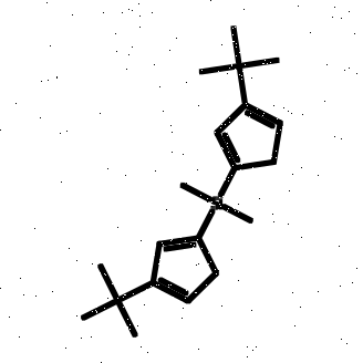 CC(C)(C)C1=CCC([Si](C)(C)C2=CC(C(C)(C)C)=CC2)=C1